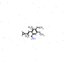 CCc1cc(C=N)c(/C=C(\C)C2CC2)c(C)c1CC